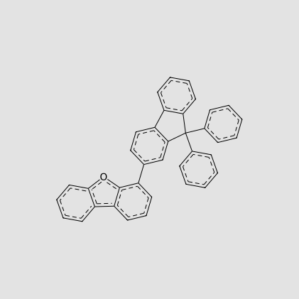 c1ccc(C2(c3ccccc3)c3ccccc3-c3ccc(-c4cccc5c4oc4ccccc45)cc32)cc1